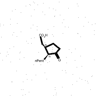 CCCCC[C@@H]1C(=O)CC[C@@H]1CC(=O)O